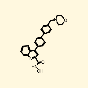 O=C(NO)c1cc(-c2ccc(-c3ccc(CN4CCOCC4)cc3)cc2)c2ccccc2n1